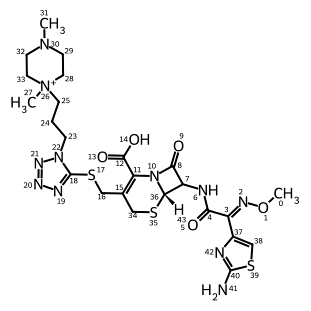 CON=C(C(=O)NC1C(=O)N2C(C(=O)O)=C(CSc3nnnn3CCC[N+]3(C)CCN(C)CC3)CS[C@@H]12)c1csc(N)n1